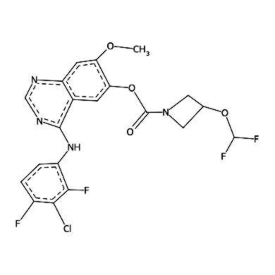 COc1cc2ncnc(Nc3ccc(F)c(Cl)c3F)c2cc1OC(=O)N1CC(OC(F)F)C1